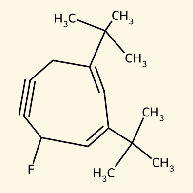 CC(C)(C)C1=C/C(F)C#CC/C(C(C)(C)C)=C\1